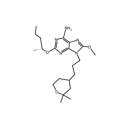 CCC[C@@H](C)Oc1nc(N)c2nc(OC)n(CCCC3CCOC(C)(C)C3)c2n1